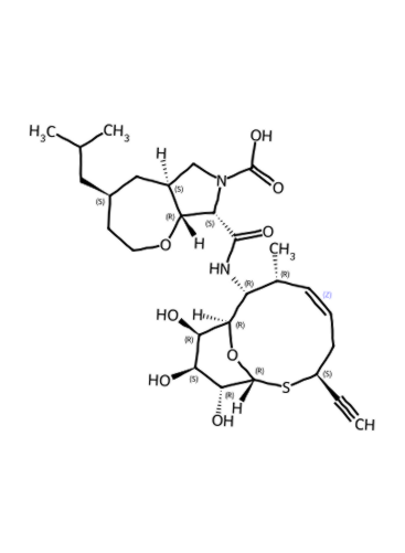 C#C[C@@H]1C/C=C\[C@@H](C)[C@@H](NC(=O)[C@@H]2[C@@H]3OCC[C@@H](CC(C)C)C[C@H]3CN2C(=O)O)[C@H]2O[C@H](S1)[C@H](O)[C@@H](O)[C@H]2O